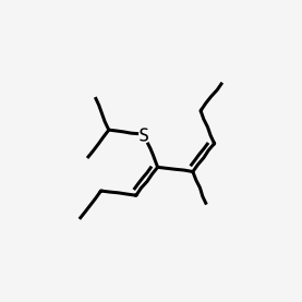 CC/C=C(C)\C(=C\CC)SC(C)C